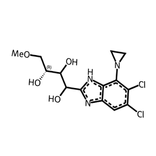 COC[C@@H](O)C(O)C(O)c1nc2cc(Cl)c(Cl)c(N3CC3)c2[nH]1